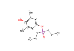 CC(C)(C)c1cc(OP(=O)(CCC#N)CCC#N)cc(C(C)(C)C)c1O